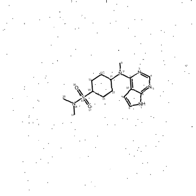 CN(c1ncnc2[nH]ccc12)C1CCC(S(=O)(=O)N(C)C)CC1